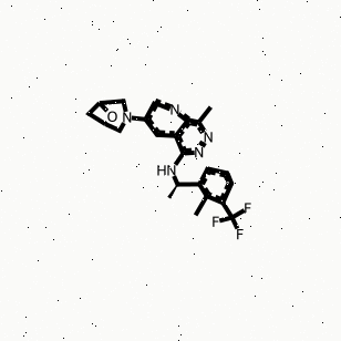 Cc1c([C@@H](C)Nc2nnc(C)c3ncc(N4CC5CC(C4)O5)cc23)cccc1C(F)(F)F